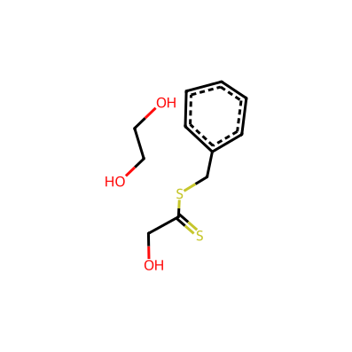 OCC(=S)SCc1ccccc1.OCCO